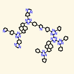 c1ccc(-c2nc(-c3ccccc3)nc(-c3nc(-c4nc(-c5ccccc5)nc(-c5ccc(-c6ccc(-c7ccc(-c8nc(-c9ccc%10nccnc%10c9)nc(-c9ccc%10ccc%11c(-c%12nc(-c%13ccc(-c%14cccnc%14)cc%13)nc(-c%13ccc%14nccnc%14c%13)n%12)ccc%12ccc9c%10c%12%11)n8)cc7)cn6)cc5)n4)nc(-c4ccc5ccc6c(-c7nc(-c8ccccc8)nc(-c8ccccc8)n7)ccc7ccc4c5c76)n3)n2)cc1